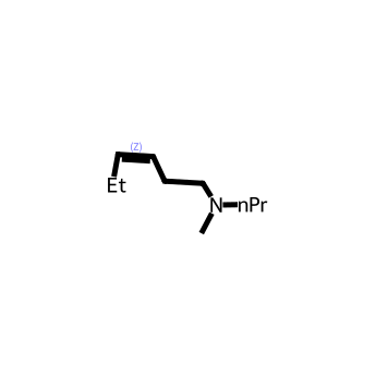 CC/C=C\CCN(C)CCC